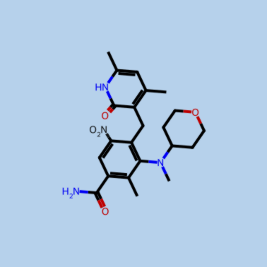 Cc1cc(C)c(Cc2c([N+](=O)[O-])cc(C(N)=O)c(C)c2N(C)C2CCOCC2)c(=O)[nH]1